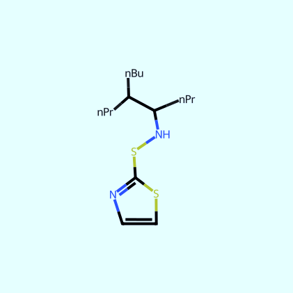 CCCCC(CCC)C(CCC)NSc1nccs1